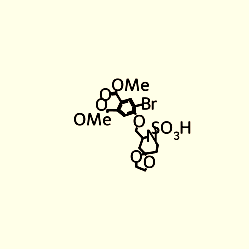 COC(=O)c1cc(Br)c(OCC2CC3(CCN2S(=O)(=O)O)OCCO3)cc1C(=O)OC